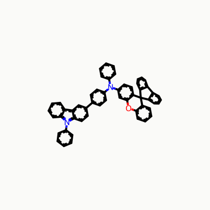 c1ccc(N(c2ccc(-c3ccc4c(c3)c3ccccc3n4-c3ccccc3)cc2)c2ccc3c(c2)Oc2ccccc2C32c3ccccc3-c3ccccc32)cc1